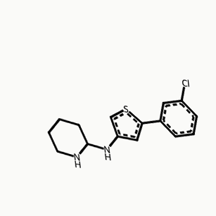 Clc1cccc(-c2cc(NC3CCCCN3)cs2)c1